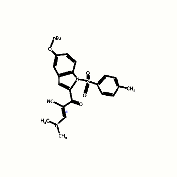 CCCCOc1ccc2c(c1)cc(C(=O)/C(C#N)=C/N(C)C)n2S(=O)(=O)c1ccc(C)cc1